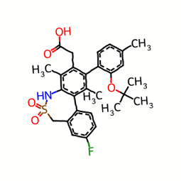 Cc1ccc(-c2c(C)c3c(c(C)c2CC(=O)O)NS(=O)(=O)Cc2cc(F)ccc2-3)c(OC(C)(C)C)c1